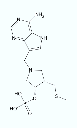 CSC[C@H]1CN(Cc2c[nH]c3c(N)ncnc23)C[C@H]1OP(=O)(O)O